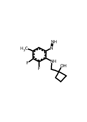 Cc1cc(N=N)c(NCC2(O)CCC2)c(F)c1F